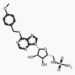 COc1ccc(CSc2ncnc3c2ncn3[C@@H]2O[C@H](CNS(N)(=O)=O)[C@@H](O)[C@H]2O)cc1